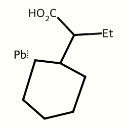 CCC(C(=O)O)C1CCCCC1.[Pb]